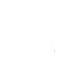 C=C1C(OCC)CC=C(C)CCC2C1CC2(C)C